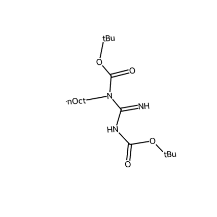 CCCCCCC[CH]N(C(=N)NC(=O)OC(C)(C)C)C(=O)OC(C)(C)C